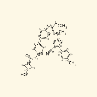 CCc1nc2ccc(-c3ccc(CC(=O)N4CC(O)C4)nc3)cn2c1N(C)c1nc(-c2ccc(C)cc2)c(C#N)s1